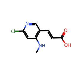 CNc1cc(Cl)ncc1/C=C/C(=O)O